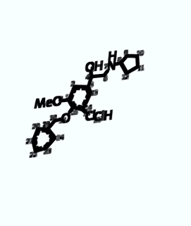 COc1cc(C(O)CNC2CCCC2)cc(Cl)c1OCc1ccccc1.Cl